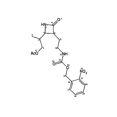 CC(=O)OCC(C)C1NC(=O)C1CCNC(=O)OCc1ccccc1[N+](=O)[O-]